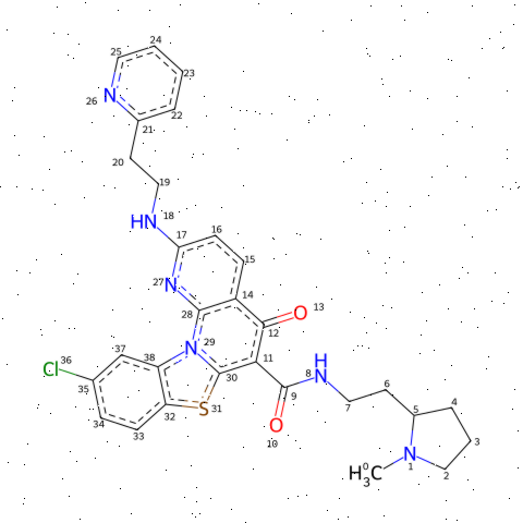 CN1CCCC1CCNC(=O)c1c(=O)c2ccc(NCCc3ccccn3)nc2n2c1sc1ccc(Cl)cc12